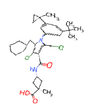 CC(C)(C)c1cc(-n2c(Cl)c(C(=O)N[C@H]3C[C@](C)(C(=O)O)C3)c(Cl)c2CC2CCCCC2)cc(C2(C)CC2)c1